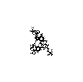 CNc1cc(C2CN(CCC(F)(F)F)CCN2Cc2c(OC)cc(C)c3c2ccn3C(=O)OC(C)(C)C)ccc1C(=O)OC